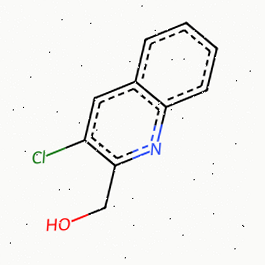 OCc1nc2ccccc2cc1Cl